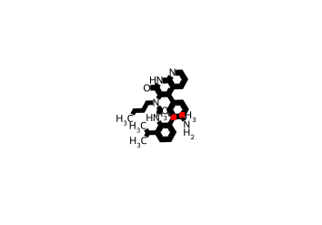 CCCCN(C(=O)Nc1c(C(C)C)cccc1C(C)C)c1c(-c2ccc(N)cc2)c2cccnc2[nH]c1=O